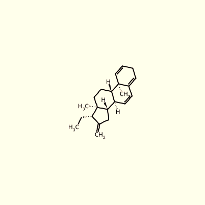 C=C1C[C@H]2[C@@H]3C=CC4=CCC=C[C@]4(C)[C@H]3CC[C@]2(C)[C@H]1CC